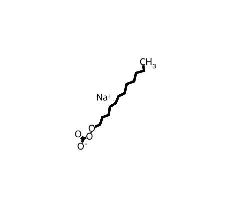 CCCCCCCCCCCCOOC(=O)[O-].[Na+]